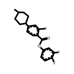 CC1CCC(c2ccc(C(=O)Oc3ccc(F)c(F)c3)c(F)c2)CC1